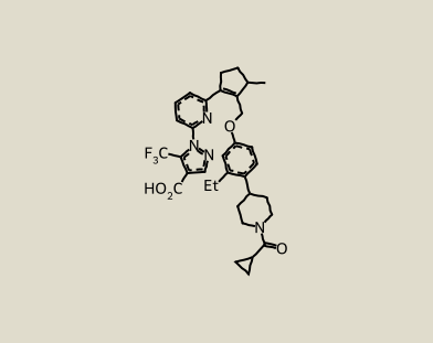 CCc1cc(OCC2=C(c3cccc(-n4ncc(C(=O)O)c4C(F)(F)F)n3)CCC2C)ccc1C1CCN(C(=O)C2CC2)CC1